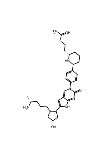 C[C@@H](N)CCCN1C[C@@H](O)CC1c1cc2cn(-c3ccc([C@@H]4CCC[C@@H](CCSC(=N)N)N4)cc3)c(=O)nc2[nH]1